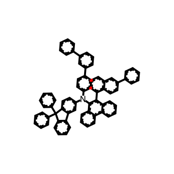 c1ccc(-c2cccc(-c3ccc(N(c4ccc5c(c4)-c4ccccc4C5(c4ccccc4)c4ccccc4)c4c(-c5cccc6cc(-c7ccccc7)ccc56)c5ccccc5c5ccccc45)cc3)c2)cc1